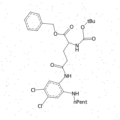 CCCCCNc1cc(Cl)c(Cl)cc1NC(=O)CCC(NC(=O)OC(C)(C)C)C(=O)OCc1ccccc1